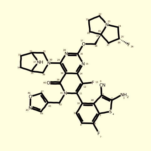 N#Cc1c(N)sc2c(F)ccc(-c3c(F)c4nc(OC[C@@]56CCCN5C[C@H](F)C6)nc(N5CC6CCC(C5)N6)c4c(=O)n3Cc3cnoc3)c12